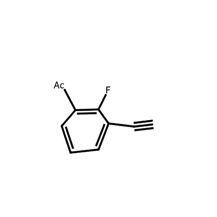 C#Cc1cccc(C(C)=O)c1F